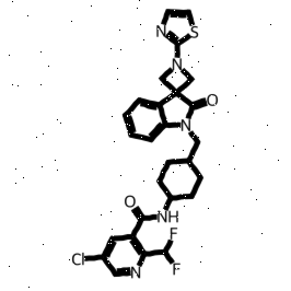 O=C(NC1CCC(CN2C(=O)C3(CN(c4nccs4)C3)c3ccccc32)CC1)c1cc(Cl)cnc1C(F)F